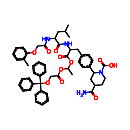 Cc1ccccc1OCC(=O)NC(CC(C)C)C(=O)NC(Cc1ccc(C2CC(C(N)=O)CCN2C(=O)O)cc1)C(=O)OC(C)OC(=O)COC(c1ccccc1)(c1ccccc1)c1ccccc1